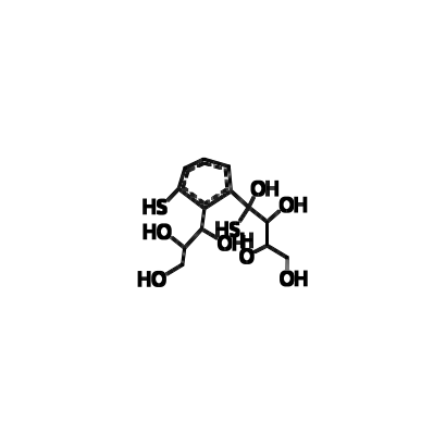 OCC(O)C(O)c1c(S)cccc1C(O)(S)C(O)C(O)CO